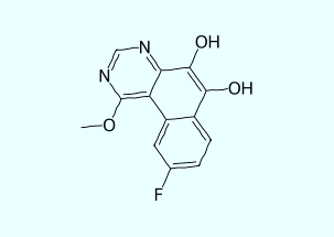 COc1ncnc2c(O)c(O)c3ccc(F)cc3c12